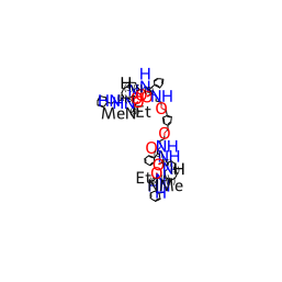 CC[C@H](NC)C(=O)N[C@@H]1C(=O)N2[C@@H](CC[C@@H]1CNCc1ccccc1)CC[C@H]2C(=O)N[C@H](C(=O)NCCOCc1ccc(COCCNC(=O)[C@@H](NC(=O)[C@@H]2CC[C@@H]3CC[C@H](CNCc4ccccc4)[C@H](NC(=O)[C@H](CC)NC)CN32)c2ccccc2)cc1)c1ccccc1